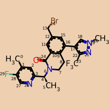 Cc1cc([C@H](C)N2CCc3c(cc(CBr)cc3-c3cn(C)nc3C(F)(F)F)C2=O)ncc1F